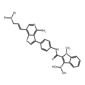 CCN(CC)C/C=C/c1cnc(N)c2c(-c3ccc(NC(=O)c4c(B(O)O)c5ccccc5n4C)cc3)csc12